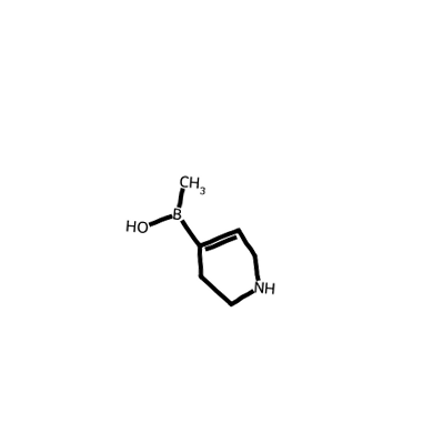 CB(O)C1=CCNCC1